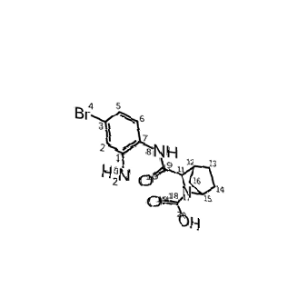 Nc1cc(Br)ccc1NC(=O)C1C2CCC(C2)N1C(=O)O